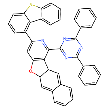 C1=c2ccccc2=CC2c3c(cc(-c4cccc5sc6ccccc6c45)nc3-c3nc(-c4ccccc4)nc(-c4ccccc4)n3)OC12